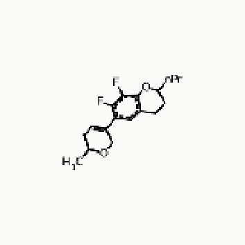 CCCC1CCc2cc(C3=CCC(C)OC3)c(F)c(F)c2O1